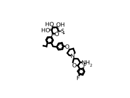 CCc1ccc([C@@H]2O[C@H](SC)[C@@H](O)[C@H](O)[C@H]2O)cc1Cc1ccc(OC2CCN(C3COC(c4cc(F)ccc4F)C(N)C3)CC2)cc1